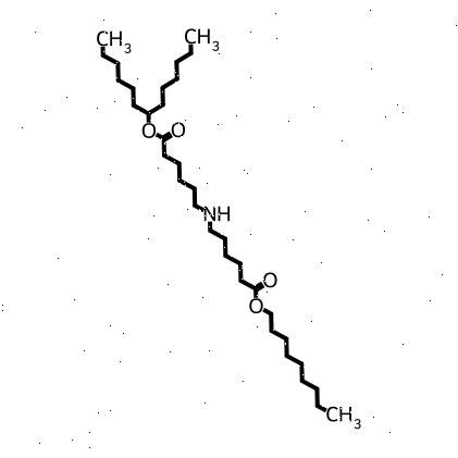 CCCCCCCCCOC(=O)CCCCCNCCCCCC(=O)OC(CCCCCC)CCCCCC